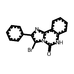 O=c1[nH]c2ccccc2c2nc(-c3ccccc3)c(Br)n12